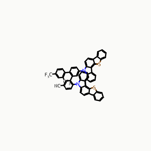 N#Cc1ccc(-n2c3ccccc3c3c4sc5ccccc5c4ccc32)c(-c2cc(-n3c4ccccc4c4c5sc6ccccc6c5ccc43)ccc2-c2ccc(C(F)(F)F)cc2C(F)(F)F)c1